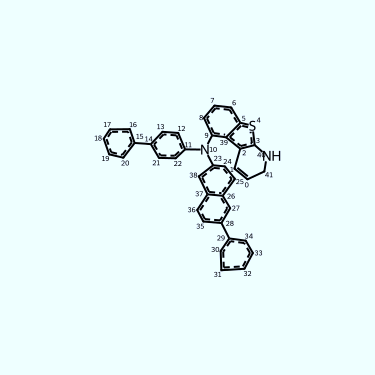 C1=Cc2c(sc3cccc(N(c4ccc(-c5ccccc5)cc4)c4ccc5cc(-c6ccccc6)ccc5c4)c23)NC1